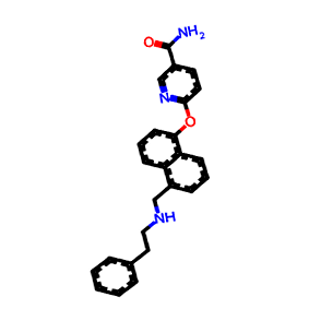 NC(=O)c1ccc(Oc2cccc3c(CNCCc4ccccc4)cccc23)nc1